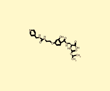 CC(C)OC(=O)N[C@@H](CNC(=O)c1ccc(OCCNC(=O)NCc2ccncc2)cc1O)C(=O)O